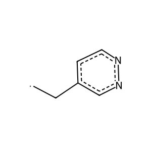 [CH2]Cc1ccnnc1